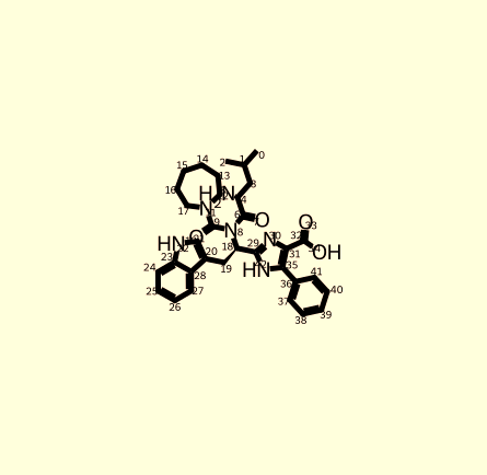 CC(C)C[C@H](N)C(=O)N(C(=O)N1CCCCCC1)[C@H](Cc1c[nH]c2ccccc12)c1nc(C(=O)O)c(-c2ccccc2)[nH]1